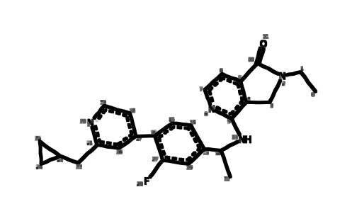 CCN1Cc2c(ccnc2NC(C)c2ccc(-c3ccnc(CC4CC4)c3)c(F)c2)C1=O